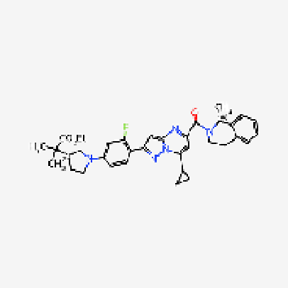 CCOC(=O)C(C)(C)[C@@H]1CCN(c2ccc(-c3cc4nc(C(=O)N5CCc6ccccc6[C@H]5C)cc(C5CC5)n4n3)c(F)c2)C1